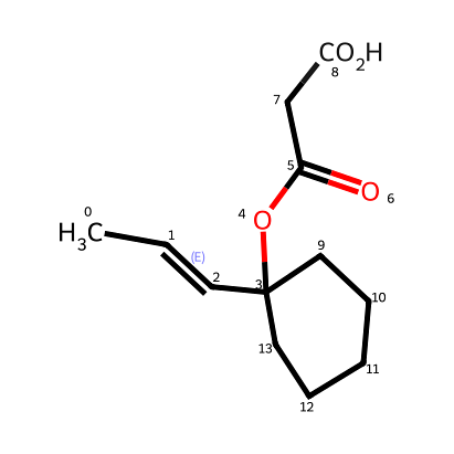 C/C=C/C1(OC(=O)CC(=O)O)CCCCC1